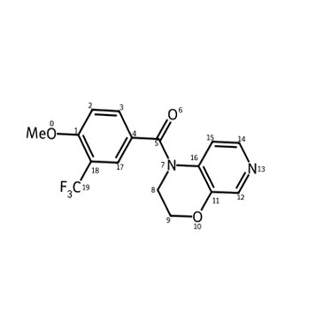 COc1ccc(C(=O)N2CCOc3cnccc32)cc1C(F)(F)F